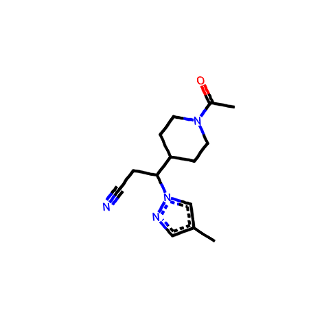 CC(=O)N1CCC(C(CC#N)n2cc(C)cn2)CC1